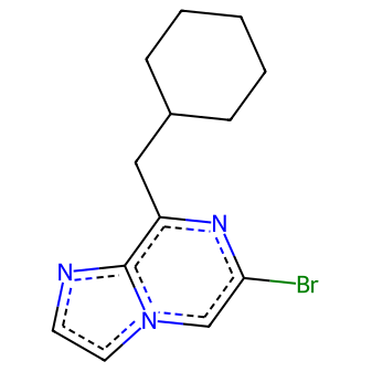 Brc1cn2ccnc2c(CC2CCCCC2)n1